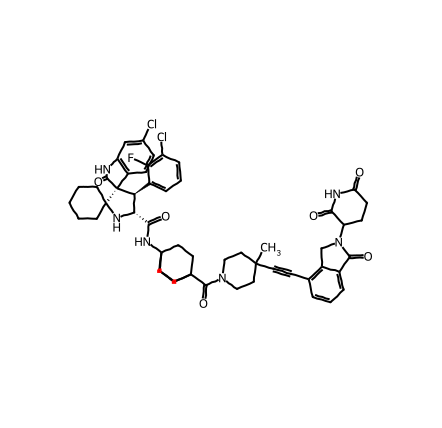 CC1(C#Cc2cccc3c2CN(C2CCC(=O)NC2=O)C3=O)CCN(C(=O)C23CCC(NC(=O)[C@@H]4NC5(CCCCC5)[C@@]5(C(=O)Nc6cc(Cl)ccc65)[C@H]4c4cccc(Cl)c4F)(CC2)CC3)CC1